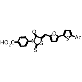 CC(=O)c1ccc(-c2ccc(C=C3SC(=S)N(c4ccc(C(=O)O)cc4)C3=O)o2)s1